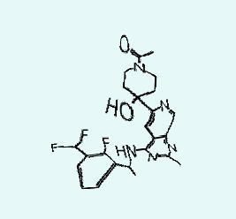 CC(=O)N1CCC(O)(c2cc3c(NC(C)c4cccc(C(F)F)c4F)nc(C)nc3cn2)CC1